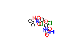 O=C(c1cc(Oc2c(Cl)cc(-n3ncc(=O)[nH]c3=O)cc2Cl)ccc1O)N1CCCC(c2ccccc2)(c2ccccc2)C1